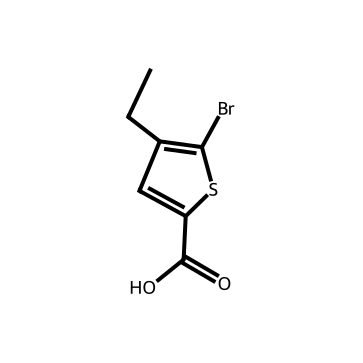 CCc1cc(C(=O)O)sc1Br